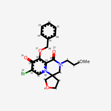 COCCN1CC2(CCOC2)n2cc(Br)c(=O)c(OCc3ccccc3)c2C1=O